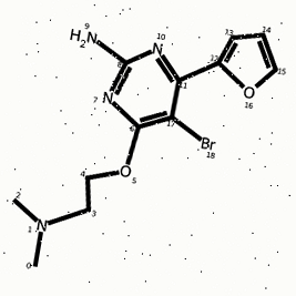 CN(C)CCOc1nc(N)nc(-c2ccco2)c1Br